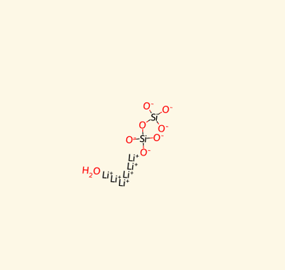 O.[Li+].[Li+].[Li+].[Li+].[Li+].[Li+].[O-][Si]([O-])([O-])O[Si]([O-])([O-])[O-]